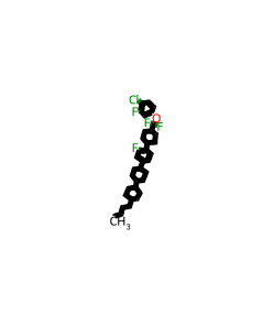 CCCCCC1CCC(C2CCC(c3ccc(C4CCC(C(F)(F)Oc5ccc(Cl)c(F)c5)CC4)c(F)c3)CC2)CC1